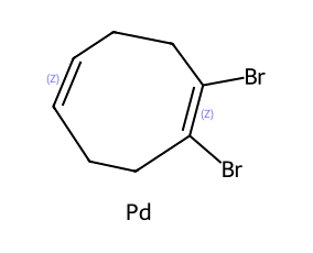 Br/C1=C(\Br)CC/C=C\CC1.[Pd]